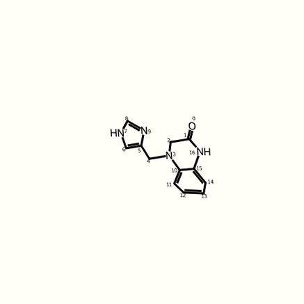 O=C1CN(Cc2c[nH]cn2)c2ccccc2N1